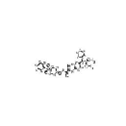 CN(C)C(c1ccccc1)C1CCC(CNC(=O)COC2CCN(S(=O)(=O)c3ccccc3)CC2)CC1